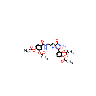 CC(=O)Oc1ccc(C(=O)NCCC[C@H](NC(=O)c2cccc(OC(C)=O)c2OC(C)=O)C(N)=O)cc1OC(C)=O